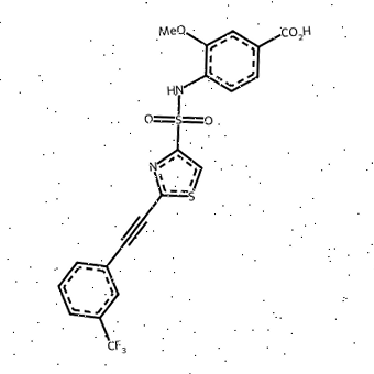 COc1cc(C(=O)O)ccc1NS(=O)(=O)c1csc(C#Cc2cccc(C(F)(F)F)c2)n1